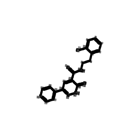 O=C(NCCc1ccccc1Cl)c1cc(-c2ccncc2)n[nH]c1=O